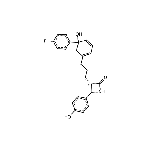 O=C1NC(c2ccc(O)cc2)[C@@H]1CCCC1=CC=CC(O)(c2ccc(F)cc2)C1